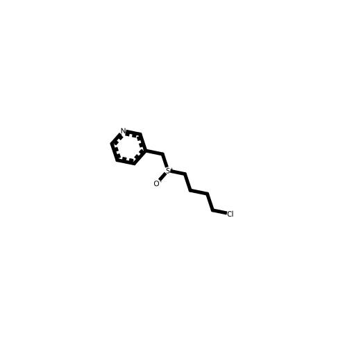 [O-][S+](CCCCCl)Cc1cccnc1